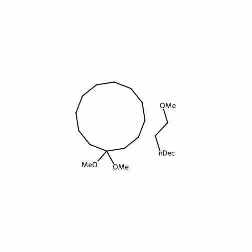 CCCCCCCCCCCCOC.COC1(OC)CCCCCCCCCCC1